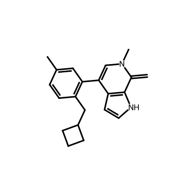 C=C1c2[nH]ccc2C(c2cc(C)ccc2CC2CCC2)=CN1C